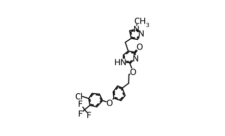 Cn1cc(Cc2c[nH]c(OCCc3ccc(Oc4ccc(Cl)c(C(F)(F)F)c4)cc3)nc2=O)cn1